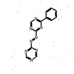 c1ccc(-c2ncnc(N=Nc3ncncn3)n2)cc1